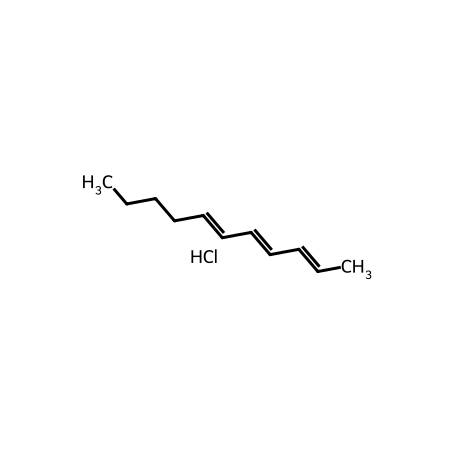 CC=CC=CC=CCCCC.Cl